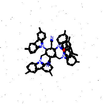 Cc1ccc2c(c1)c1cc(C)ccc1n2Cc1c(C#N)c(Cn2c3ccc(C)cc3c3cc(C)ccc32)c(-n2c3ccc(C)cc3c3cc(C)ccc32)c(C#N)c1-n1c2ccc(C)cc2c2cc(C)ccc21